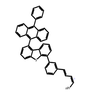 CCC/C=C\C=Cc1cccc(-c2cccc3c2sc2cccc(-c4c5ccccc5c(-c5ccccc5)c5ccccc45)c23)c1